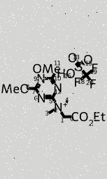 CCOC(=O)C[N+](C)(C)c1nc(OC)nc(OC)n1.O=S(=O)(O)C(F)(F)F